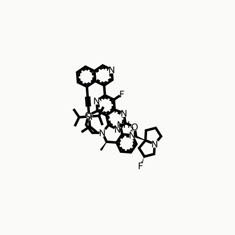 CC(C)[Si](C#Cc1cccc2cncc(-c3nc4c5c(nc(OC[C@@]67CCCN6C[C@H](F)C7)nc5c3F)N([C@H](C)c3cccnc3N)CCO4)c12)(C(C)C)C(C)C